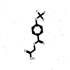 O=C(O)CSC(=S)c1ccc(OC(F)(F)F)cc1